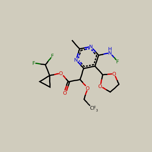 Cc1nc(NF)c(C2OCCO2)c(C(OCC(F)(F)F)C(=O)OC2(C(F)F)CC2)n1